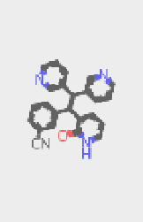 N#Cc1cccc(C(c2ccc[nH]c2=O)C(c2cccnc2)c2cccnc2)c1